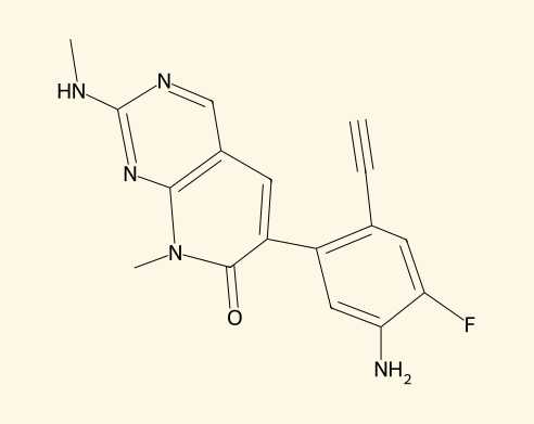 C#Cc1cc(F)c(N)cc1-c1cc2cnc(NC)nc2n(C)c1=O